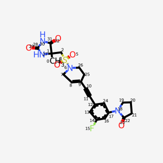 CC1(CS(=O)(=O)N2CC=C(C#Cc3cc(F)cc(N4CCCC4=O)c3)CC2)NC(=O)NC1=O